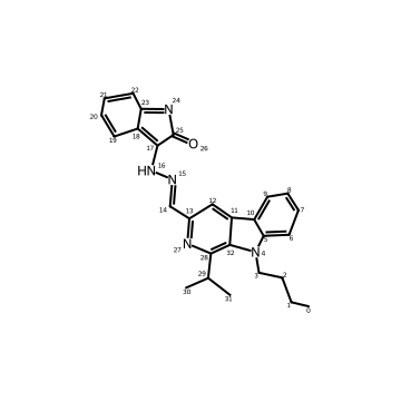 CCCCn1c2ccccc2c2cc(C=NNC3=c4ccccc4=NC3=O)nc(C(C)C)c21